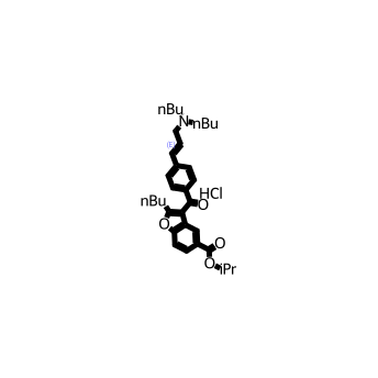 CCCCc1oc2ccc(C(=O)OC(C)C)cc2c1C(=O)c1ccc(/C=C/CN(CCCC)CCCC)cc1.Cl